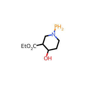 CCOC(=O)C1CN(P)CCC1O